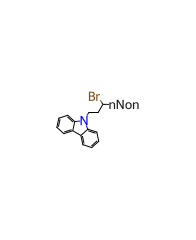 CCCCCCCCCC(Br)CCn1c2ccccc2c2ccccc21